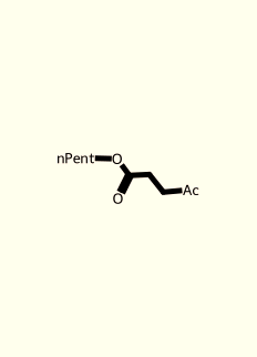 CCCCCOC(=O)CCC(C)=O